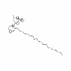 CCCCCCCCCCCCCCCCCCCCC1COCCN1C(CCC)O[N+](=O)[O-]